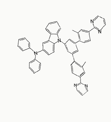 Cc1cc(-c2ncccn2)ccc1-c1cc(-c2ccc(-c3ncccn3)cc2C)cc(-n2c3ccccc3c3cc(N(c4ccccc4)c4ccccc4)ccc32)c1